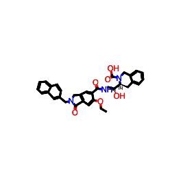 CCOc1cc2c(cc1C(=O)NC[C@@H](O)[C@@H]1Cc3ccccc3CN1C(=O)O)CN(Cc1ccc3ccccc3c1)C2=O